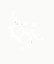 O=C1C=C[N+](=O)N=C1S(=O)(=O)Cl